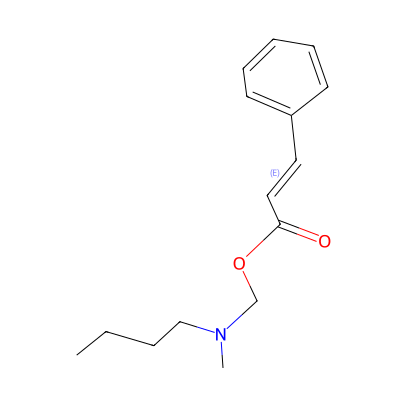 CCCCN(C)COC(=O)/C=C/c1ccccc1